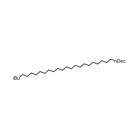 [CH2]CC(C)CCCCCCCCCCCCCCCCCCCCCCCCCCCCCCC